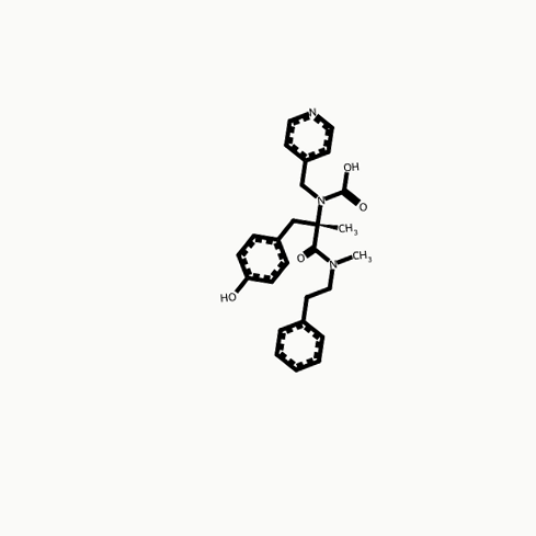 CN(CCc1ccccc1)C(=O)[C@](C)(Cc1ccc(O)cc1)N(Cc1ccncc1)C(=O)O